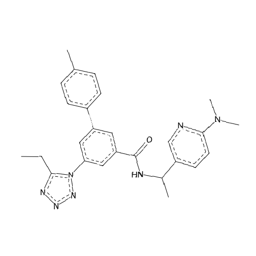 CCc1nnnn1-c1cc(C(=O)NC(C)c2ccc(N(C)C)nc2)cc(-c2ccc(C)cc2)c1